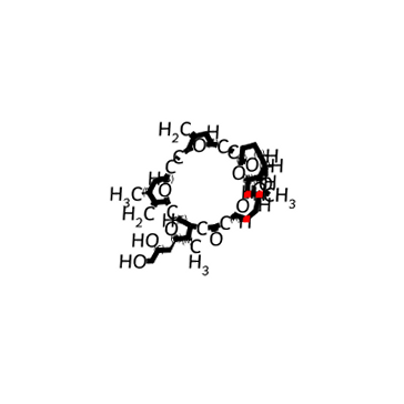 C=C1C[C@@H]2CC[C@]34CC[C@H](O3)[C@@H]3O[C@H]5CC[C@H](CC(=O)CC6[C@H](CC7O[C@@H](CCC1O2)C[C@@H](C)C7=C)O[C@H](C[C@H](O)CO)[C@@H]6C)O[C@@H]5[C@H](O4)[C@@H]3OC